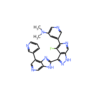 CN(C)c1cncc(-c2ncc3[nH]nc(-c4nc5c(-c6cccnc6)cncc5[nH]4)c3c2F)c1